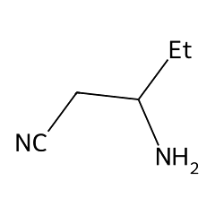 CCC(N)CC#N